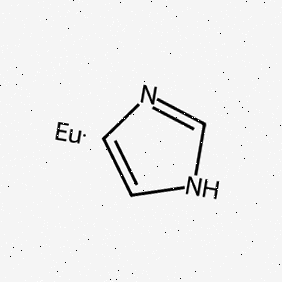 [Eu].c1c[nH]cn1